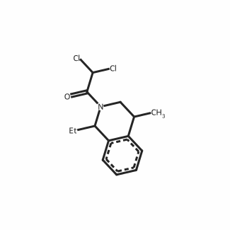 CCC1c2ccccc2C(C)CN1C(=O)C(Cl)Cl